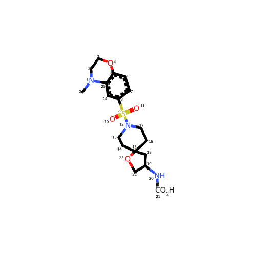 CN1CCOc2ccc(S(=O)(=O)N3CCC4(CC3)CC(NC(=O)O)CO4)cc21